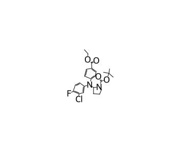 CCOC(=O)c1ccc(N(c2ccc(F)c(Cl)c2)C2CCCN2C(=O)OC(C)(C)C)cc1